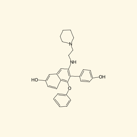 Oc1ccc(-c2c(NCCN3CCCCC3)cc3cc(O)ccc3c2Oc2ccccc2)cc1